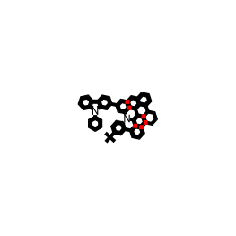 CC(C)(C)c1ccc(N(c2cccc(-c3ccc4c5ccccc5n(-c5ccccc5)c4c3)c2)c2ccccc2-c2cccc3cccc(C4CCCCC4)c23)c(-c2ccccc2)c1